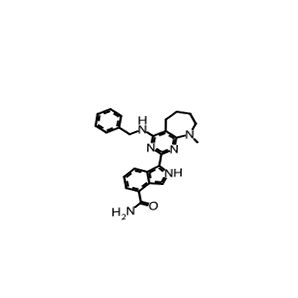 CN1CCCCc2c(NCc3ccccc3)nc(-c3[nH]cc4c(C(N)=O)cccc34)nc21